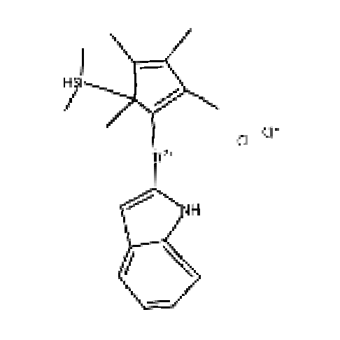 CC1=C(C)C(C)([SiH](C)C)[C]([Ti+2][c]2cc3ccccc3[nH]2)=C1C.[Cl-].[Cl-]